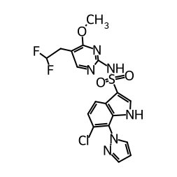 COc1nc(NS(=O)(=O)c2c[nH]c3c(-n4cccn4)c(Cl)ccc23)ncc1CC(F)F